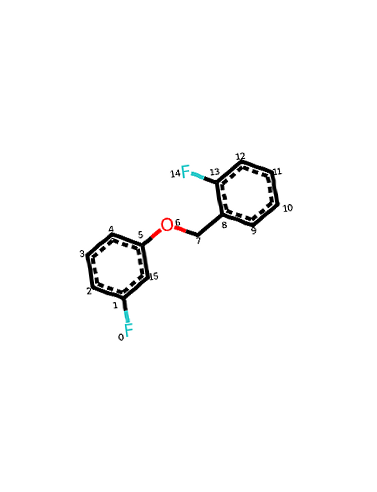 Fc1cc[c]c(OCc2ccccc2F)c1